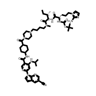 CC[C@H](C)[C@H](NC(=O)[C@H](CCCn1ccnc1N)NC(=O)OC(C)(C)C)C(=O)N(C)CCCCN1CCN(C(=O)C2CCC(NC(=O)c3cnc(-n4ccc5cc(C#N)cnc54)cc3NC(C)C)CC2)CC1